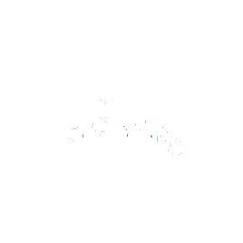 CC(=NNc1ncccn1)C(C(=O)N1C[C@@H]2C(Oc3cc(C(C)(C)NC(=O)O)cc(-c4ccc(F)cc4)n3)[C@@H]2C1)C(F)(F)F